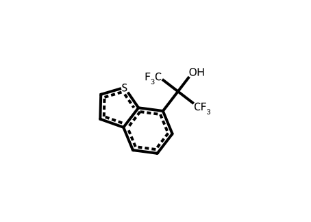 OC(c1cccc2ccsc12)(C(F)(F)F)C(F)(F)F